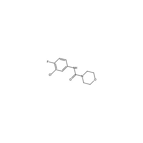 O=C(Nc1ccc(F)c(Cl)c1)N1CCOCC1